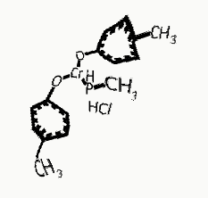 C[PH][Cr]([O]c1ccc(C)cc1)[O]c1ccc(C)cc1.Cl